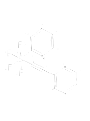 FS(F)(F)(F)(C#Cc1ccccc1)c1ccccc1